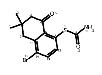 CC1(C)CC(=O)c2c(SC(N)=O)ccc(Br)c2C1